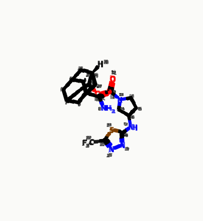 NC(=O)C12CC3CC(C1)C(OC(=O)N1CCC(Nc4nnc(C(F)(F)F)s4)C1)[C@H](C3)C2